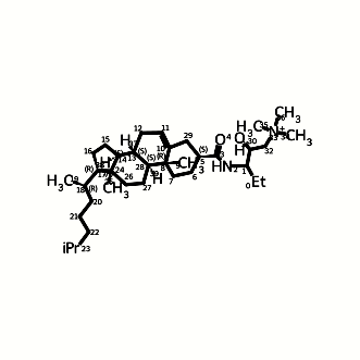 CCC(NC(=O)[C@H]1CC[C@@]2(C)C(=CC[C@H]3[C@@H]4CC[C@H]([C@H](C)CCCC(C)C)[C@@]4(C)CC[C@@H]32)C1)C(O)C[N+](C)(C)C